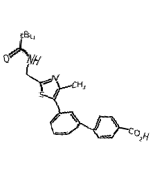 Cc1nc(CNC(=O)C(C)(C)C)sc1-c1cccc(-c2ccc(C(=O)O)cc2)c1